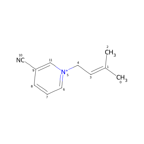 CC(C)=CC[n+]1cccc(C#N)c1